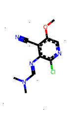 COc1cnc(Cl)c(N=CN(C)C)c1C#N